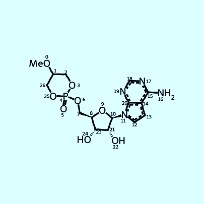 COC1COP(=O)(OC[C@H]2O[C@@H](n3ccc4c(N)ncnc43)[C@H](O)[C@@H]2O)OC1